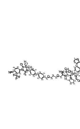 Cc1ncsc1-c1ccc(CNC(=O)[C@@H]2CCCN2C(=O)C(NC(=O)COCCCOCc2ccc(-c3ccc(N4C(=S)N(c5ccc(C#N)c(C(F)(F)F)c5)C(=O)C4(C)C)cc3)cc2)C(C)(C)C)cc1